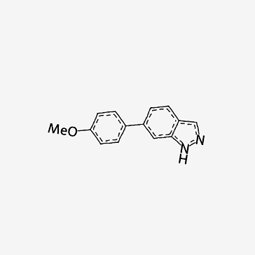 COc1ccc(-c2ccc3cn[nH]c3c2)cc1